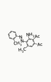 CC(=O)c1cc(C)c(N=Nc2ccccc2C)c(N)c1C(C)=O